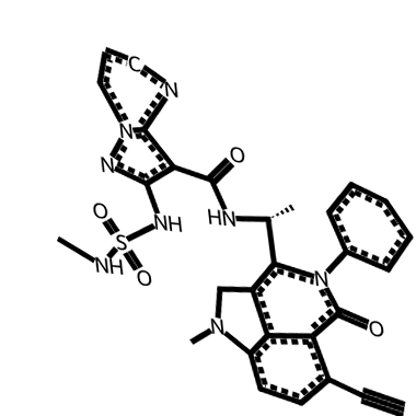 C#Cc1ccc2c3c(c([C@@H](C)NC(=O)c4c(NS(=O)(=O)NC)nn5cccnc45)n(-c4ccccc4)c(=O)c13)CN2C